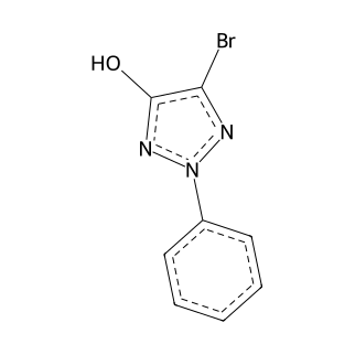 Oc1nn(-c2ccccc2)nc1Br